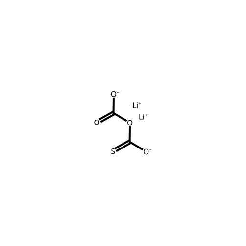 O=C([O-])OC([O-])=S.[Li+].[Li+]